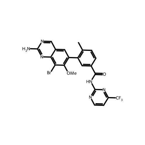 COc1c(-c2cc(C(=O)Nc3nccc(C(F)(F)F)n3)ccc2C)cc2cnc(N)nc2c1Br